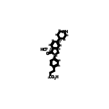 Cl.O=C(O)CCc1ccc(N2Cc3cc(C4CCNCC4)ccc3C2=O)cc1